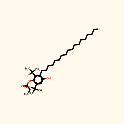 CCCCCCCCCCCCCCCCCCc1c(O)cc(C(C)(C)C)c(OC(=O)CC)c1C(C)(C)C